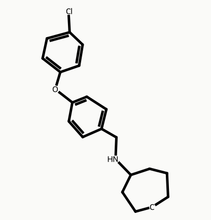 Clc1ccc(Oc2ccc(CNC3CCCCCC3)cc2)cc1